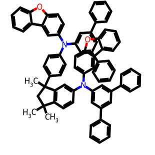 CC1(C)CC(C)(c2ccc(N(c3cc(-c4ccccc4)cc(-c4ccccc4)c3)c3ccc4oc5ccccc5c4c3)cc2)c2cc(N(c3cc(-c4ccccc4)cc(-c4ccccc4)c3)c3ccc4oc5ccccc5c4c3)ccc21